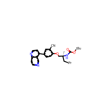 CC(C)C[C@@](C)(COc1ccc(-c2ccnc3ccncc23)cc1C#N)NC(=O)OC(C)(C)C